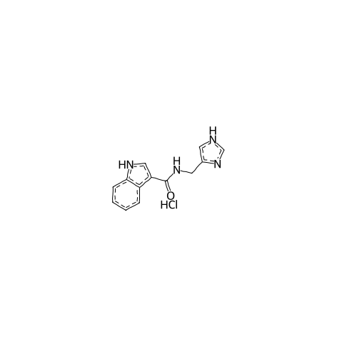 Cl.O=C(NCc1c[nH]cn1)c1c[nH]c2ccccc12